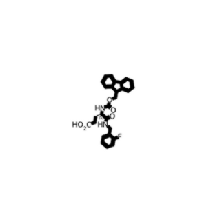 O=C(O)CC[C@H](NC(=O)OCC1c2ccccc2-c2ccccc21)C(=O)NCc1ccccc1F